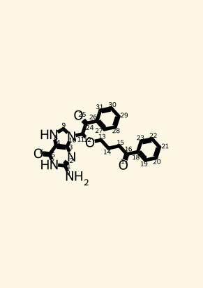 Nc1nc2c(c(=O)[nH]1)NCN2C(OCCCC(=O)c1ccccc1)C(=O)c1ccccc1